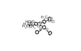 Cc1cnc(Cl)nc1-c1ccc(N(Cc2ccc(CN(C(=O)O)C(C)(C)C)cc2)C(=O)c2ccc(OCc3ccccc3)cc2OCc2ccccc2)cc1